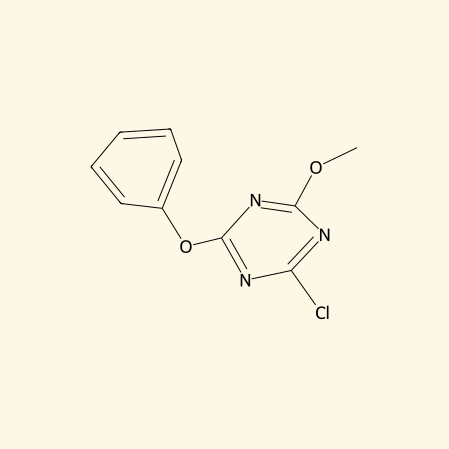 COc1nc(Cl)nc(Oc2ccccc2)n1